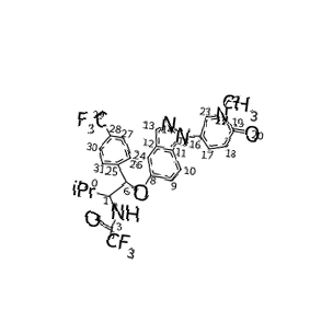 CC(C)C(NC(=O)C(F)(F)F)C(Oc1ccc2c(cnn2-c2ccc(=O)n(C)c2)c1)c1ccc(C(F)(F)F)cc1